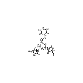 C[n+]1ccn(-c2cc(OCc3ccccc3)cc(-n3cc[n+](C)c3)n2)c1